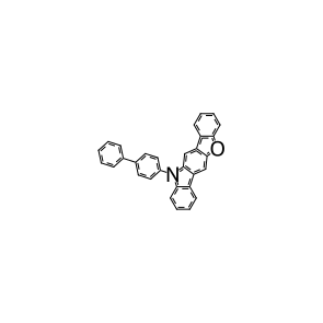 c1ccc(-c2ccc(-n3c4ccccc4c4cc5oc6ccccc6c5cc43)cc2)cc1